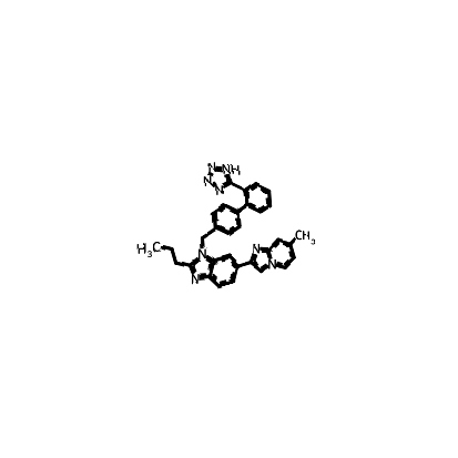 CCCc1nc2ccc(-c3cn4ccc(C)cc4n3)cc2n1Cc1ccc(-c2ccccc2-c2nnn[nH]2)cc1